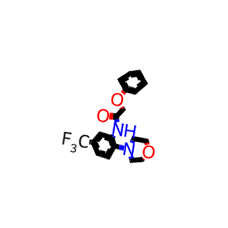 O=C(COc1ccccc1)Nc1cc(C(F)(F)F)ccc1N1CCOCC1